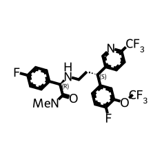 CNC(=O)[C@H](NCC[C@H](c1ccc(C(F)(F)F)nc1)c1ccc(F)c(OC(F)(F)F)c1)c1ccc(F)cc1